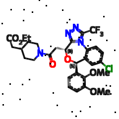 CCOC(=O)CC1CCN(C(=O)C[C@H]2O[C@H](c3cccc(OC)c3OC)c3cc(Cl)ccc3-n3c2nnc3C(F)(F)F)CC1